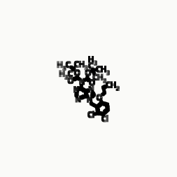 C=CCOc1ccc(Cl)c(Cl)c1Cn1cnc2c(N(C(=O)OC(C)(C)C)C(=O)OC(C)(C)C)ncnc21